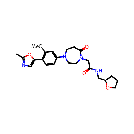 COc1cc(N2CCC(=O)N(CC(=O)NCC3CCCO3)CC2)ccc1-c1cnc(C)o1